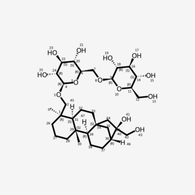 C[C@@]1(CO[C@@H]2O[C@H](CO[C@@H]3O[C@H](CO)[C@@H](O)[C@H](O)[C@H]3O)[C@@H](O)[C@H](O)[C@H]2O)CCC[C@]2(C)[C@@H]1CC[C@@]13C[C@@H](CC[C@H]12)[C@@](O)(CO)C3